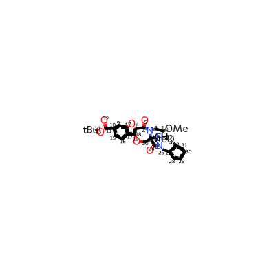 COCCN1C(=O)c2oc3cc(C(=O)OC(C)(C)C)ccc3c2OCC1(C)C(=O)NCc1ccccc1OC